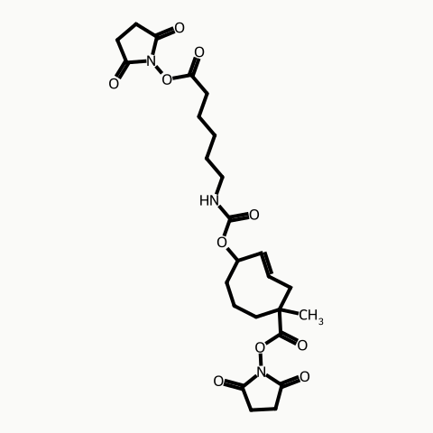 CC1(C(=O)ON2C(=O)CCC2=O)C/C=C/C(OC(=O)NCCCCCC(=O)ON2C(=O)CCC2=O)CCC1